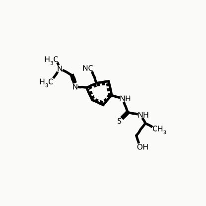 CC(CO)NC(=S)Nc1ccc(N=CN(C)C)c(C#N)c1